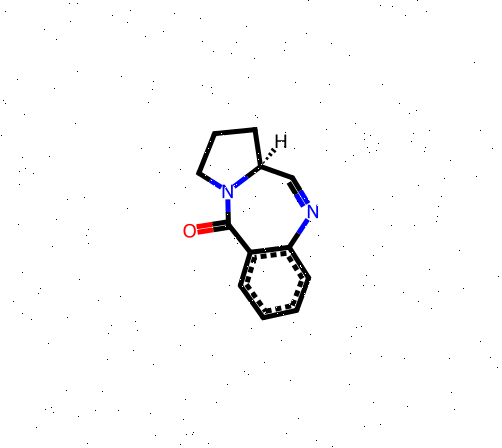 O=C1c2ccccc2N=C[C@@H]2CCCN12